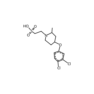 CC1CC(Oc2ccc(Cl)c(Cl)c2)CCN1CCS(=O)(=O)O